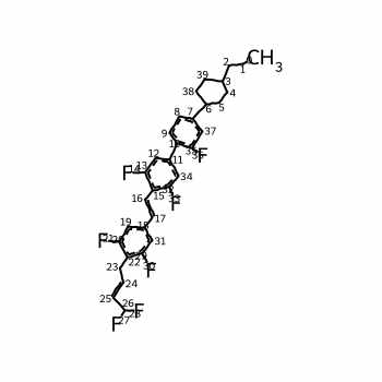 CCCC1CCC(c2ccc(-c3cc(F)c(/C=C/c4cc(F)c(C/C=C/C(F)F)c(F)c4)c(F)c3)c(F)c2)CC1